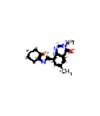 Cc1cc(-c2nc3c(s2)CCCC3)c2ncn(C(C)C)c(=O)c2c1